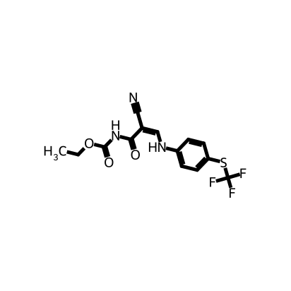 CCOC(=O)NC(=O)C(C#N)=CNc1ccc(SC(F)(F)F)cc1